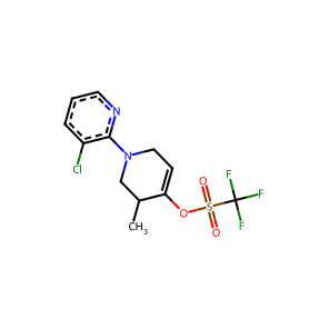 CC1CN(c2ncccc2Cl)CC=C1OS(=O)(=O)C(F)(F)F